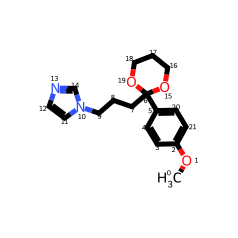 COc1ccc(C2(CCCn3ccnc3)OCCCO2)cc1